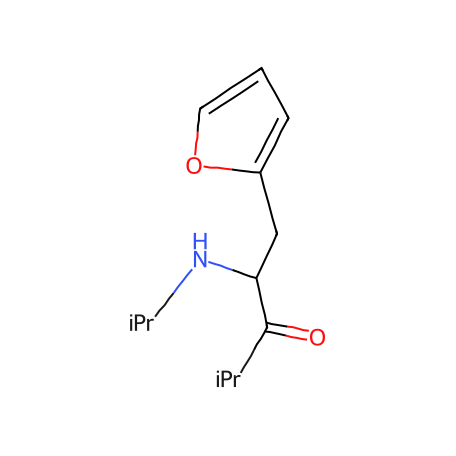 CC(C)NC(Cc1ccco1)C(=O)C(C)C